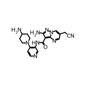 N#CCc1cnc2c(C(=O)Nc3cnccc3N3CCC(N)CC3)c(N)nn2c1